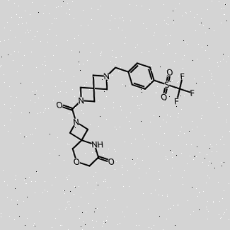 O=C1COCC2(CN(C(=O)N3CC4(CN(Cc5ccc(S(=O)(=O)C(F)(F)F)cc5)C4)C3)C2)N1